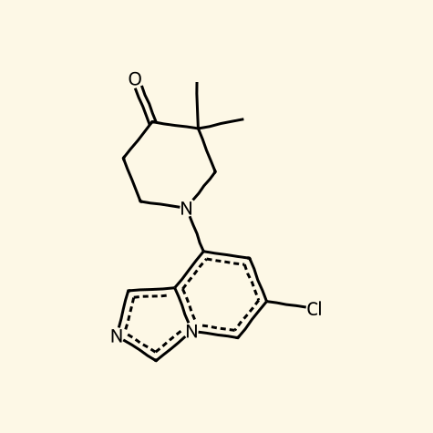 CC1(C)CN(c2cc(Cl)cn3cncc23)CCC1=O